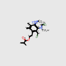 C=C(C)C(=O)OCCc1c(C)c(C)c(NC(=O)O)c(N(CCl)C(=O)O)c1CCl